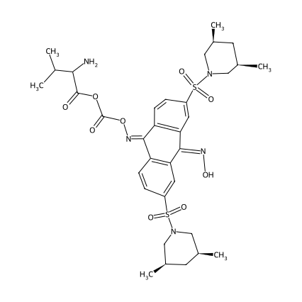 CC(C)C(N)C(=O)OC(=O)ON=C1c2ccc(S(=O)(=O)N3C[C@H](C)C[C@H](C)C3)cc2C(=NO)c2cc(S(=O)(=O)N3C[C@H](C)C[C@H](C)C3)ccc21